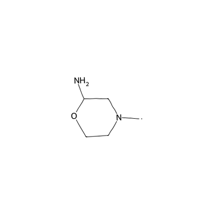 [CH2]N1CCOC(N)C1